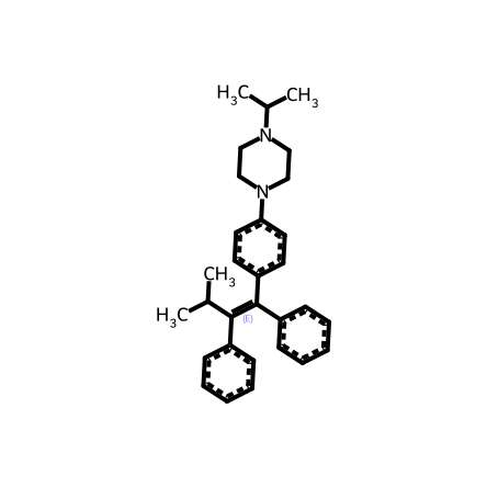 CC(C)/C(=C(/c1ccccc1)c1ccc(N2CCN(C(C)C)CC2)cc1)c1ccccc1